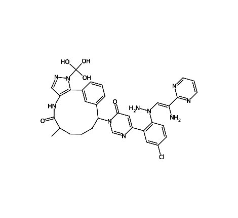 CC1CCCC(n2cnc(-c3cc(Cl)ccc3N(N)/C=C(\N)c3ncccn3)cc2=O)c2cccc(c2)-c2c(cnn2C(O)(O)O)NC1=O